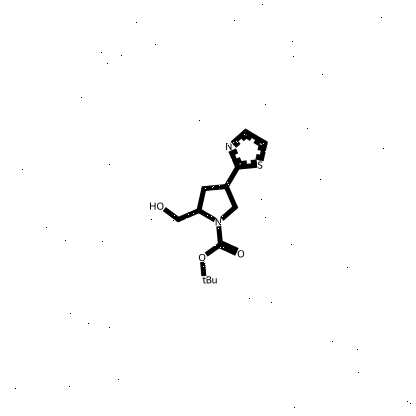 CC(C)(C)OC(=O)N1CC(c2nccs2)CC1CO